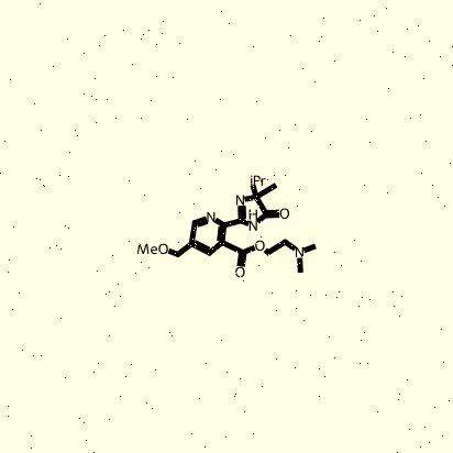 COCc1cnc(C2=NC(C)(C(C)C)C(=O)N2)c(C(=O)OCCN(C)C)c1